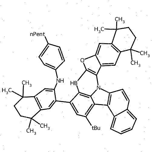 CCCCCc1ccc(Nc2cc3c(cc2-c2cc(C(C)(C)C)c4c5c6ccccc6ccc5n5c4c2Bc2oc4cc6c(cc4c2-5)C(C)(C)CCC6(C)C)C(C)(C)CCC3(C)C)cc1